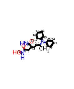 CC(CCC(CC(=O)NO)C([NH])=O)N(c1ccccc1)c1ccccc1